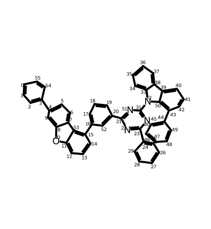 c1ccc(-c2ccc3c(c2)oc2cccc(-c4cccc(-c5nc(-c6ccccc6)nc(-n6c7ccccc7c7cccc(-c8ccccc8)c76)n5)c4)c23)cc1